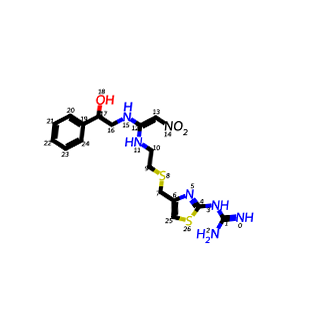 N=C(N)Nc1nc(CSCCNC(=C[N+](=O)[O-])NCC(O)c2ccccc2)cs1